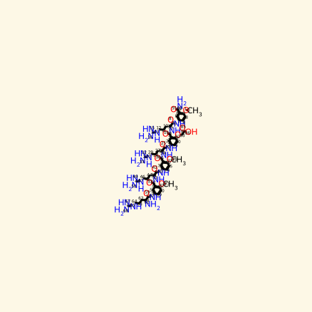 COc1ccc(NC(=O)[C@H](CCCNC(=N)N)NC(=O)c2cc(NC(=O)[C@H](CCCNC(=N)N)NC(=O)c3cc(NC(=O)[C@H](CCCNC(=N)N)NC(=O)c4cc(NC(=O)C(N)CCCNC(=N)N)ccc4OC)ccc3OC)ccc2OCC(=O)O)cc1C(N)=O